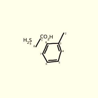 CC(=O)O.Cc1ccccc1.S